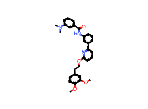 COc1ccc(CCOc2cccc(-c3cccc(NC(=O)c4cccc(N(C)C)c4)c3)n2)cc1OC